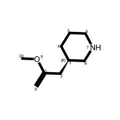 C=C(C[C@H]1CCCNC1)OC